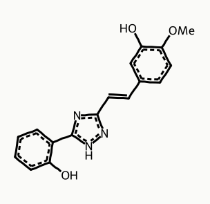 COc1ccc(C=Cc2n[nH]c(-c3ccccc3O)n2)cc1O